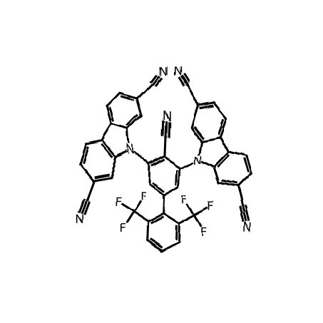 N#Cc1ccc2c3ccc(C#N)cc3n(-c3cc(-c4c(C(F)(F)F)cccc4C(F)(F)F)cc(-n4c5cc(C#N)ccc5c5ccc(C#N)cc54)c3C#N)c2c1